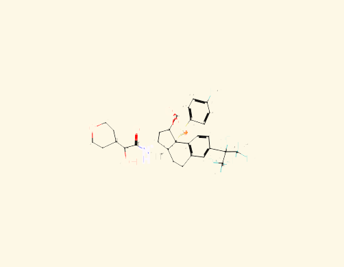 O=CC1C[C@@H](NC(=O)C(O)C2CCOCC2)[C@@H]2CCc3cc(C(F)(C(F)(F)F)C(F)(F)F)ccc3[C@@]12S(=O)(=O)c1ccc(F)cc1